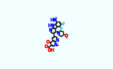 CNc1cc(F)c(F)c2c1[nH]c1ncc(-c3cnc4c(c3)c(=O)c(C(=O)O)cn4C)c(N3CCC(OC)CC3)c12